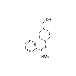 CNC(=NC1CCC(CO)CC1)c1ccccc1